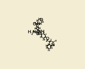 Cc1cc(COc2ccc(ONC3(C(N)=O)CN(C(=O)N4CCOCC4)C3)cc2)c2ccccc2n1